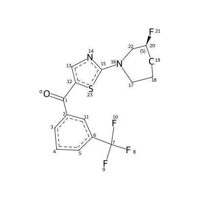 O=C(c1cccc(C(F)(F)F)c1)c1cnc(N2CCC[C@H](F)C2)s1